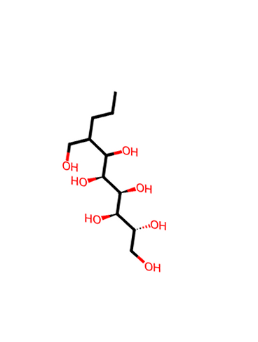 CCCC(CO)C(O)[C@H](O)[C@@H](O)[C@H](O)[C@H](O)CO